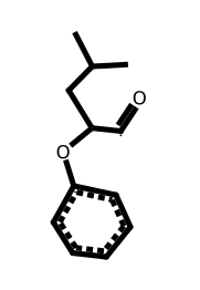 CC(C)CC([C]=O)Oc1ccccc1